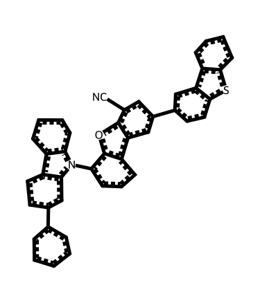 N#Cc1cc(-c2ccc3sc4ccccc4c3c2)cc2c1oc1c(-n3c4ccccc4c4ccc(-c5ccccc5)cc43)cccc12